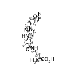 Cc1cc(Nc2nccn3c(-c4ccc(OC(F)F)cc4)cnc23)ccc1C(=O)NCCCC[C@H](N)C(=O)O